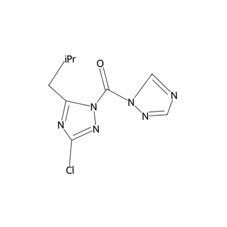 CC(C)Cc1nc(Cl)nn1C(=O)n1cncn1